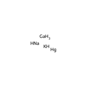 [GaH3].[Hg].[KH].[NaH]